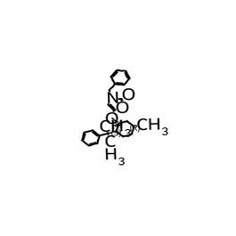 C[C@@H]1CC[C@@H](C(C)(C)c2ccccc2)[C@@H](Oc2cn(Cc3ccccc3)c(=O)o2)C1